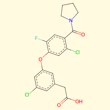 O=C(O)Cc1cc(Cl)cc(Oc2cc(Cl)c(C(=O)N3CCCC3)cc2F)c1